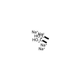 CC(=O)O.CC(=O)O.[Na+].[Na+].[Na+].[Na+]